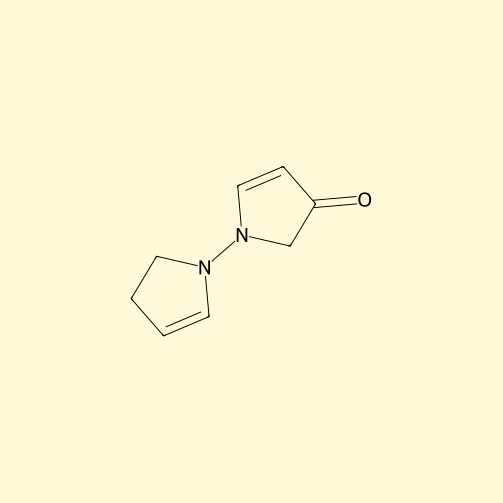 O=C1C=CN(N2C=CCC2)C1